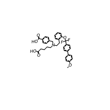 COc1ccc(-c2ccc(C(F)(F)Oc3ccccc3CCN(CCCCC(=O)O)Cc3ccc(C(=O)O)cc3)cc2)cc1